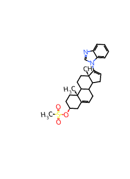 C[C@]12CC[C@H](OS(C)(=O)=O)CC1=CCC1C2CC[C@]2(C)C(n3cnc4ccccc43)=CCC12